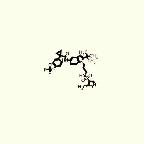 Cc1oncc1S(=O)(=O)NCCCn1c(C(C)(C)C)cc2cc(NC(=O)C3(c4ccc5c(c4)OC(F)(F)O5)CC3)ccc21